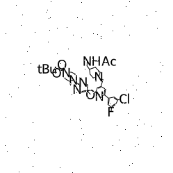 CC(=O)NCC1CCN(Cc2cc(Oc3cnc(N4CCN(C(=O)OC(C)(C)C)CC4)nc3)nc(-c3cc(F)cc(Cl)c3)c2)CC1